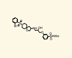 CNS(=O)(=O)c1cccc(OCC(O)CNC2COC3(CCN(S(=O)(=O)c4ccccc4Br)CC3)C2)c1